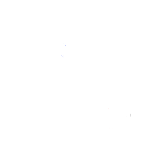 CC(=O)Oc1cccc2c1CCC(CCn1cc(C(c3ccccc3)c3ccccc3)cn1)C2